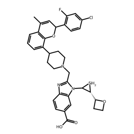 CC1=CC(c2ccc(Cl)cc2F)Oc2c1cccc2C1CCN(Cc2nc3ccc(C(=O)O)cc3n2C2[SiH2][C@@H]2C2CCO2)CC1